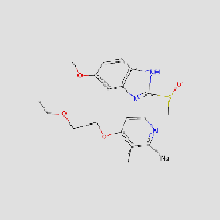 CCOCCOc1ccn[c]([Na])c1C.COc1ccc2[nH]c([S+](C)[O-])nc2c1